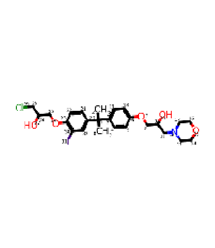 CC(C)(c1ccc(OCC(O)CN2CCOCC2)cc1)c1ccc(OCC(O)CCl)c(I)c1